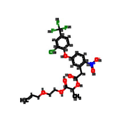 C=CCOCCOC(=O)C(C)OC(=O)Cc1cc(Oc2ccc(C(F)(F)F)cc2Cl)ccc1[N+](=O)[O-]